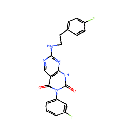 O=c1[nH]c2nc(NCCc3ccc(F)cc3)ncc2c(=O)n1-c1cccc(F)c1